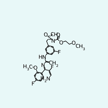 C=C(/N=C(\C(F)=C/N)c1ccc(F)cc1OC)Nc1cc(F)cc(CS(C)(=O)=NC(=O)OCCOC)c1